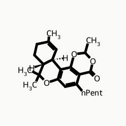 CCCCCc1cc2c(c3c1C(=O)OC(C)O3)[C@@H]1C=C(C)CC[C@H]1C(C)(C)O2